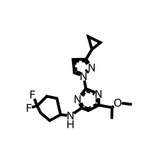 COC(C)c1cc(NC2CCC(F)(F)CC2)nc(-n2ccc(C3CC3)n2)n1